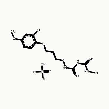 CC(C)NC(=N)NC(=N)NOCCCOc1ccc(OC(F)(F)F)cc1Cl.O=P(O)(O)O